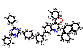 c1ccc(-c2nc(-c3ccccc3)nc(-c3ccc(-c4cccc(-c5ccc6c(c5)nc(-c5cc7ccccc7c7ccccc57)c5oc7ccccc7c56)c4)cc3)n2)cc1